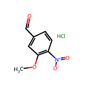 COc1cc(C=O)ccc1[N+](=O)[O-].Cl